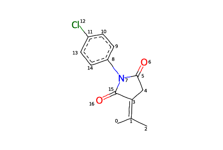 CC(C)=C1CC(=O)N(c2ccc(Cl)cc2)C1=O